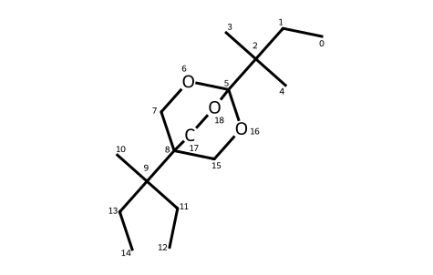 CCC(C)(C)C12OCC(C(C)(CC)CC)(CO1)CO2